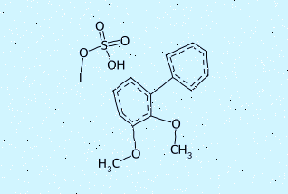 COc1cccc(-c2ccccc2)c1OC.O=S(=O)(O)OI